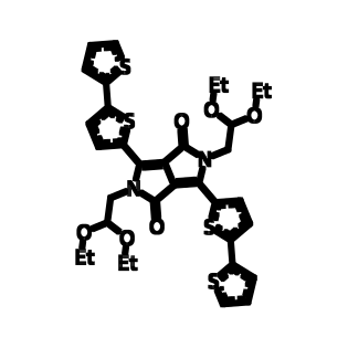 CCOC(CN1C(=O)C2=C(c3ccc(-c4cccs4)s3)N(CC(OCC)OCC)C(=O)C2=C1c1ccc(-c2cccs2)s1)OCC